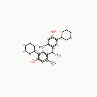 Cc1cc(O)c(C2CCCCC2)cc1C(C)c1cc(C2CCCCC2)c(O)cc1C